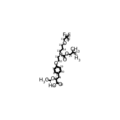 CCOC(Cc1ccc(OCCN(CCCOCC(F)(F)F)C(=O)OCC(C)C)cc1)C(=O)O